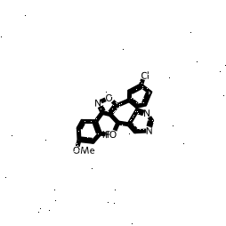 COc1ccc(-c2noc(-c3cccc(Cl)c3)c2C(O)c2cncnc2)c(F)c1